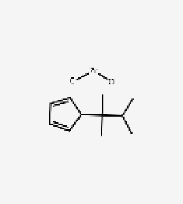 CC(C)C(C)(C)[C]1C=CC=C1.[Cl][Zr][Cl]